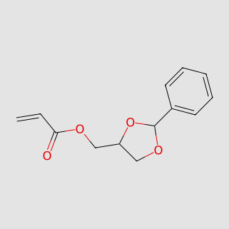 C=CC(=O)OCC1COC(c2ccccc2)O1